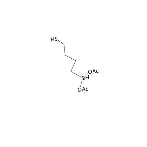 CC(=O)O[SiH](CCCCS)OC(C)=O